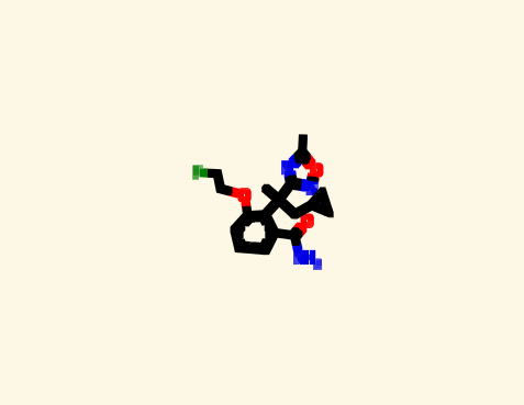 Cc1nc(C(C)(CC2CC2)c2c(OCCF)cccc2C(N)=O)no1